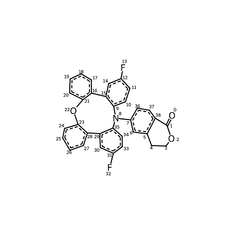 O=C1OCCc2cc(N3c4ccc(F)cc4-c4ccccc4Oc4ccccc4-c4cc(F)ccc43)ccc21